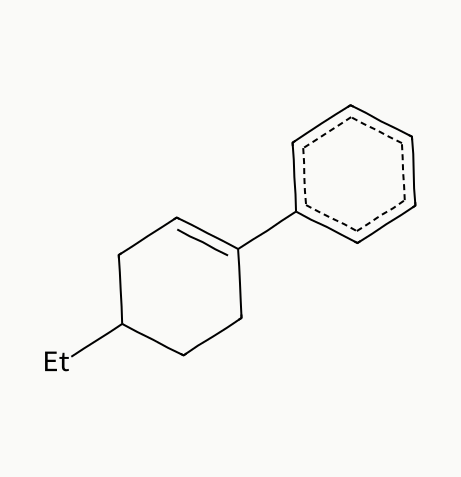 CCC1CC=C(c2ccccc2)CC1